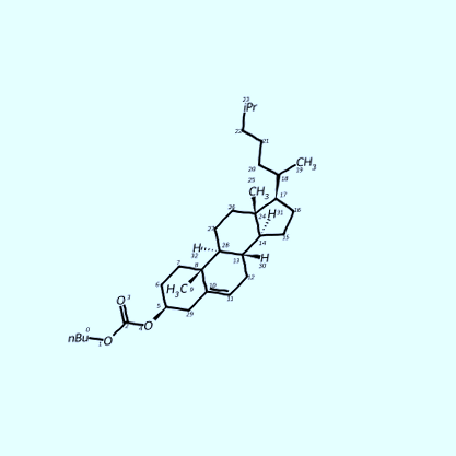 CCCCOC(=O)O[C@H]1CC[C@@]2(C)C(=CC[C@H]3[C@@H]4CC[C@H](C(C)CCCC(C)C)[C@@]4(C)CC[C@@H]32)C1